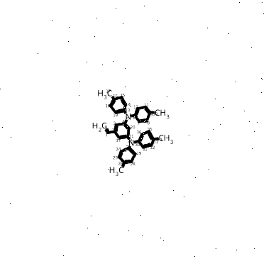 C=Cc1cc(N(c2ccc(C)cc2)c2ccc(C)cc2)cc(N(c2ccc(C)cc2)c2ccc(C)cc2)c1